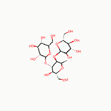 CC1O[C@H](CO)[C@@H](O)[C@H](OC2O[C@H](CO)[C@@H](O)[C@H](O)[C@H]2O)[C@H]1OC1O[C@H](CO)[C@@H](O)[C@H](O)[C@H]1O